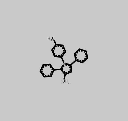 Bc1cc(-c2ccccc2)n(-c2ccc(C)cc2)c1-c1ccccc1